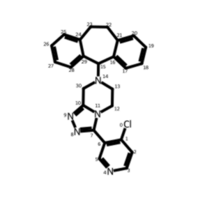 Clc1ccncc1-c1nnc2n1CCN(C1c3ccccc3CCc3ccccc31)C2